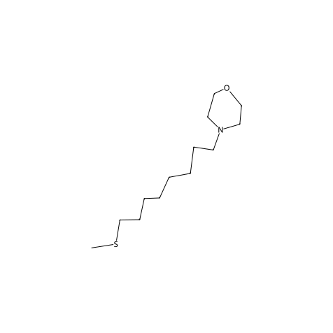 CSCCCCCCCCN1CCOCC1